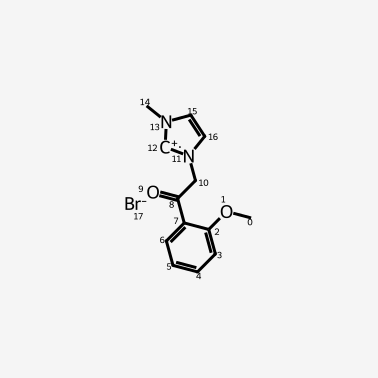 COc1ccccc1C(=O)CN1[C+]N(C)C=C1.[Br-]